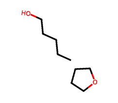 C1CCOC1.CCCCCO